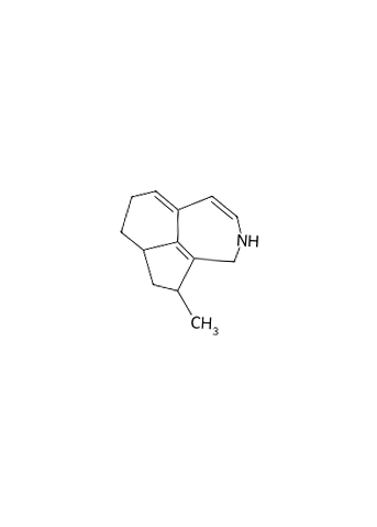 CC1CC2CCC=C3C=CNCC1=C32